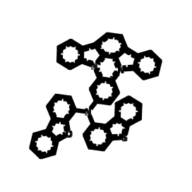 c1ccc2c(c1)oc1c(N(c3ccc4c(c3)n3c5ccccc5c5ccc6c7ccccc7n4c6c53)c3cccc4sc5ccccc5c34)cccc12